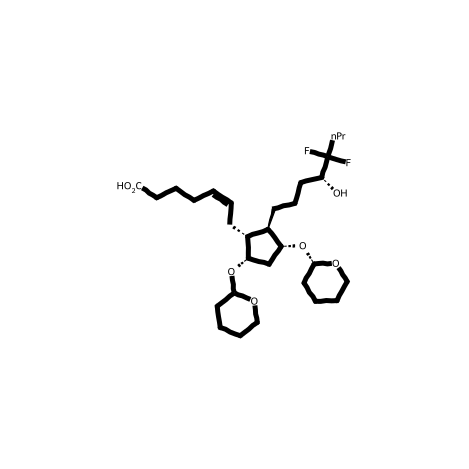 CCCC(F)(F)[C@H](O)CCC[C@@H]1[C@@H](C/C=C\CCCC(=O)O)[C@@H](OC2CCCCO2)C[C@H]1O[C@H]1CCCCO1